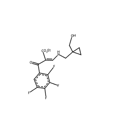 CCOC(=O)C(=CNCC1(CO)CC1)C(=O)c1cc(F)c(F)c(F)c1F